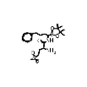 CC1(C)OB(C(CCCc2ccccc2)NC(=O)C(N)CCS(C)(=O)=O)OC1(C)C